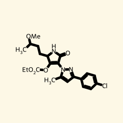 CCOC(=O)OC1=C(n2nc(-c3ccc(Cl)cc3)cc2C)C(=O)NC1CCC(C)OC